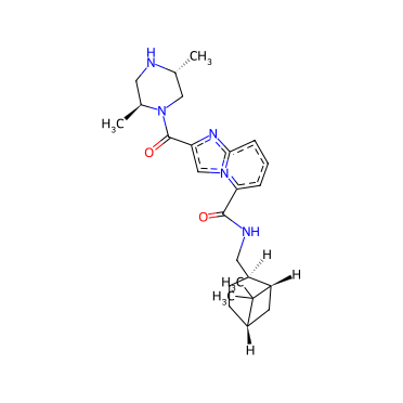 C[C@@H]1CN(C(=O)c2cn3c(C(=O)NC[C@@H]4CC[C@H]5C[C@@H]4C5(C)C)cccc3n2)[C@@H](C)CN1